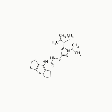 CCC(c1cc(SNC(=O)Nc2c3c(cc4c2CCC4)CCC3)nn1C(C)C)N(C)C